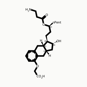 CCCCC[C@@H](CC[C@@H]1[C@H]2Cc3cccc(OCC(=O)O)c3C[C@H]2C[C@H]1O)OC(=O)CCN